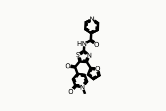 Cn1ccc(C(=O)c2sc(NC(=O)c3ccncc3)nc2-c2ccco2)cc1=O